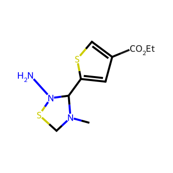 CCOC(=O)c1csc(C2N(C)CSN2N)c1